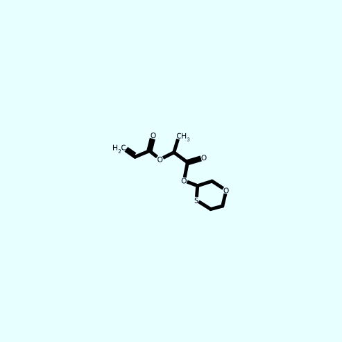 C=CC(=O)OC(C)C(=O)OC1COCCS1